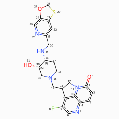 O=c1ccc2ncc(F)c3c2n1CC3CN1CC[C@@H](NCc2cc3c(cn2)OCS3)[C@@H](O)C1